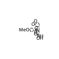 COc1ccc(S(=O)(=O)N(CC(=O)NO)Cc2ccc3c(c2)OCO3)cc1